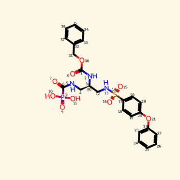 O=C(N[C@H](CNC(=O)P(=O)(O)O)CNS(=O)(=O)c1ccc(Oc2ccccc2)cc1)OCc1ccccc1